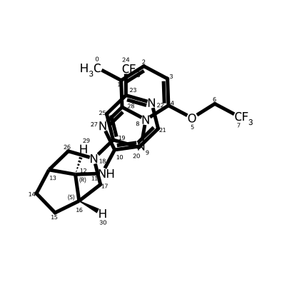 Cc1ccc(OCC(F)(F)F)n2nc(N[C@@H]3C4CC[C@H]3CN(c3ccnc(C(F)(F)F)c3)C4)nc12